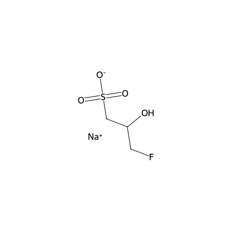 O=S(=O)([O-])CC(O)CF.[Na+]